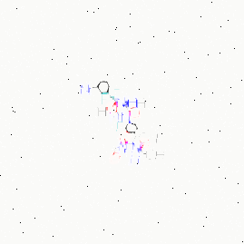 CCC(=O)N[C@@H](C(=O)N1CCOCC1)[C@@H](C)c1ccc(NC(=O)C(C)(C)NC(=O)C(F)(F)c2cccc(C#N)c2)c(F)c1